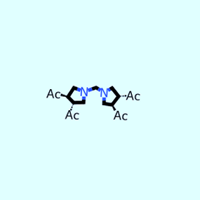 CC(=O)[C@H]1CN(CN2C[C@H](C(C)=O)[C@@H](C(C)=O)C2)C[C@@H]1C(C)=O